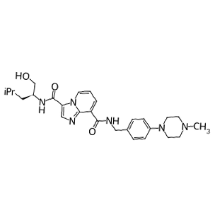 CC(C)C[C@@H](CO)NC(=O)c1cnc2c(C(=O)NCc3ccc(N4CCN(C)CC4)cc3)cccn12